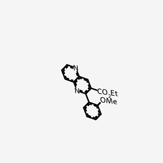 CCOC(=O)c1cc2ncccc2nc1-c1ccccc1OC